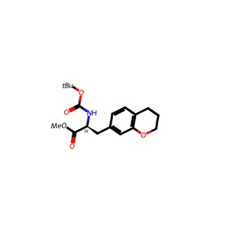 COC(=O)[C@H](Cc1ccc2c(c1)OCCC2)NC(=O)OC(C)(C)C